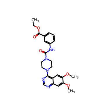 CCOC(=O)c1cccc(NC(=O)N2CCN(c3ncnc4cc(OC)c(OC)cc34)CC2)c1